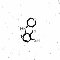 Sc1ccnc(NC2CCOCC2)c1Cl